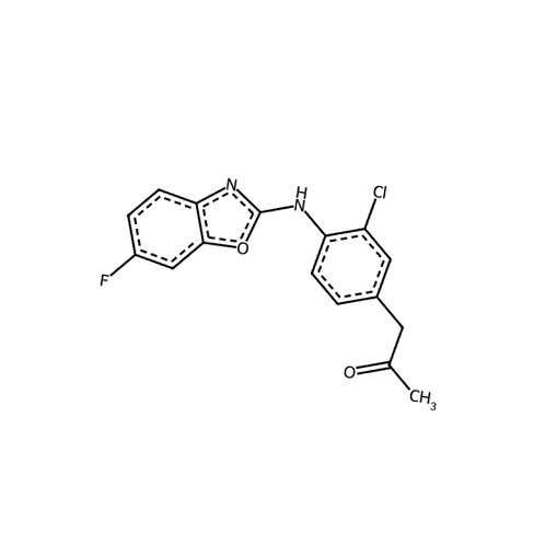 CC(=O)Cc1ccc(Nc2nc3ccc(F)cc3o2)c(Cl)c1